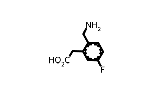 NCc1ccc(F)cc1CC(=O)O